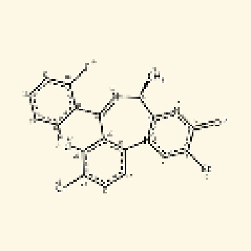 CCc1cn2c(nc1=O)[C@H](C)N=C(c1c(F)cccc1F)c1c-2ccc(Cl)c1Cl